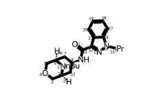 CCCCN1[C@@H]2COC[C@H]1C[C@@H](NC(=O)c1nn(C(C)C)c3ccccc13)C2